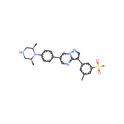 Cc1cc(-c2cnn3cc(-c4ccc(N5[C@H](C)CNC[C@@H]5C)cc4)cnc23)cc(S(C)(=O)=O)c1